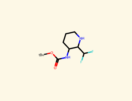 CC(C)(C)OC(=O)NC1CCCNC1C(F)F